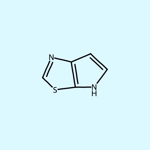 c1cc2ncsc2[nH]1